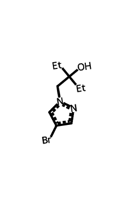 CCC(O)(CC)Cn1cc(Br)cn1